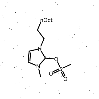 CCCCCCCCCCN1C=CN(C)C1OS(C)(=O)=O